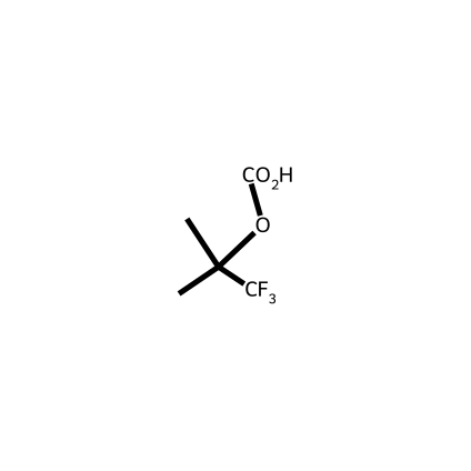 CC(C)(OC(=O)O)C(F)(F)F